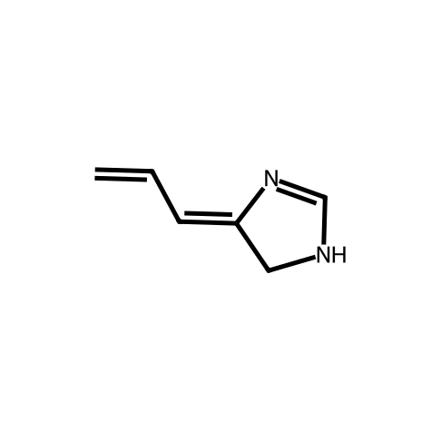 C=CC=C1CNC=N1